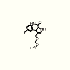 CCCOCOCC1=CNC2C(=O)Nc3ccc(I)cc3C12